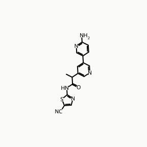 CC(C(=O)Nc1ncc(C#N)s1)c1cncc(-c2ccc(N)nc2)c1